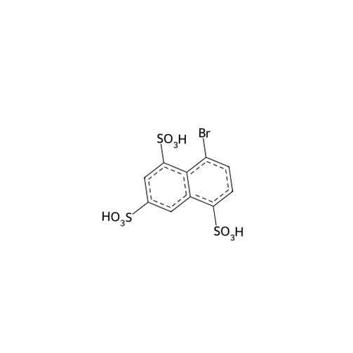 O=S(=O)(O)c1cc(S(=O)(=O)O)c2c(Br)ccc(S(=O)(=O)O)c2c1